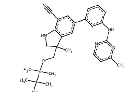 Cc1ccnc(Nc2nccc(-c3cc(C#N)c4c(c3)C(C)(CO[Si](C)(C)C(C)(C)C)CN4)n2)n1